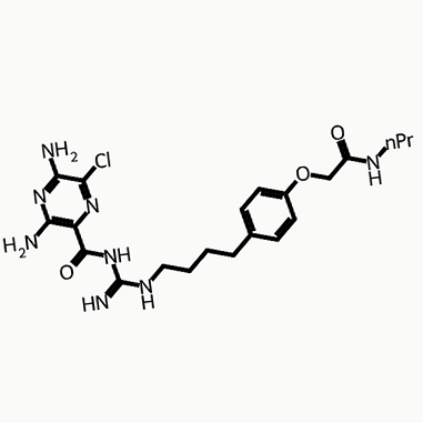 CCCNC(=O)COc1ccc(CCCCNC(=N)NC(=O)c2nc(Cl)c(N)nc2N)cc1